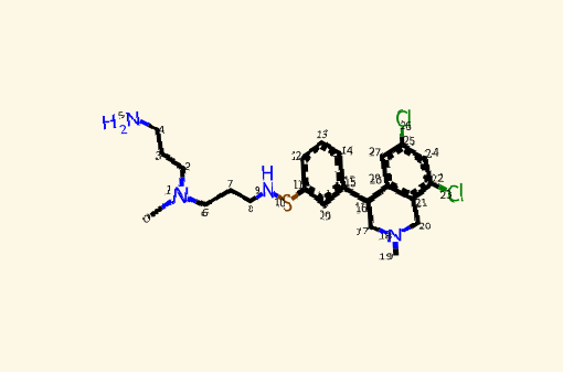 CN(CCCN)CCCNSc1cccc(C2CN(C)Cc3c(Cl)cc(Cl)cc32)c1